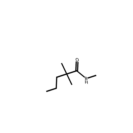 CBC(=O)C(C)(C)CCC